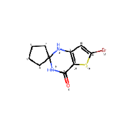 O=C1NC2(CCCC2)Nc2cc(Br)sc21